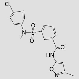 Cc1cc(NC(=O)c2cccc(S(=O)(=O)N(C)c3ccc(Cl)cc3)c2)on1